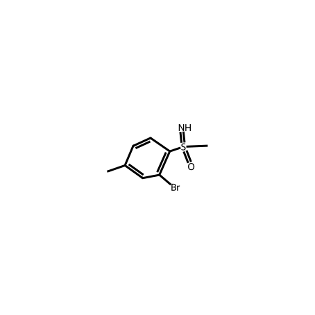 Cc1ccc(S(C)(=N)=O)c(Br)c1